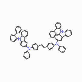 C(=C\c1ccc(N(c2ccccc2)c2ccc3c(c2)c2ccccc2n3-c2ccccc2-c2ccccc2)cc1)/c1ccc(N(c2ccccc2)c2ccc3c(c2)c2ccccc2n3-c2ccccc2-c2ccccc2)cc1